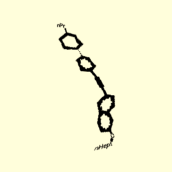 CCCCCCCOc1ccc2cc(C#Cc3ccc([C@H]4CC[C@H](CCC)CC4)cc3)ccc2c1